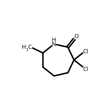 CC1CCCC(Cl)(Cl)C(=O)N1